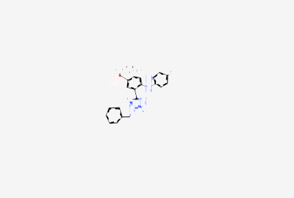 COC(=O)c1ccc(Nc2ccc(C(F)(F)F)cc2)c(-c2nnn(Cc3ccccc3F)n2)c1